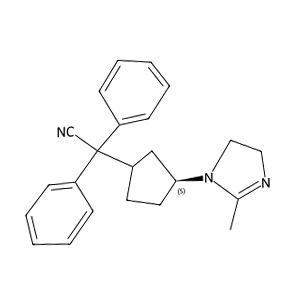 CC1=NCCN1[C@H]1CCC(C(C#N)(c2ccccc2)c2ccccc2)C1